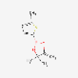 C=C1OB(c2ccc(C)s2)OC1(C)C